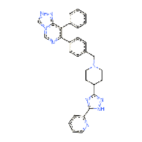 c1ccc(-c2c(-c3ccc(CN4CCC(c5n[nH]c(-c6ccccn6)n5)CC4)cc3)ncn3cnnc23)cc1